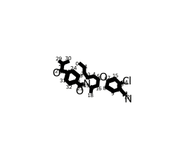 CCCC1CC(Oc2ccc(C#N)c(Cl)c2)CC(C)N1C(=O)c1ccc(C(=O)C(C)C)cc1